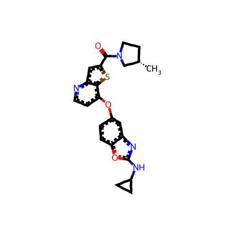 C[C@H]1CCN(C(=O)c2cc3nccc(Oc4ccc5oc(NC6CC6)nc5c4)c3s2)C1